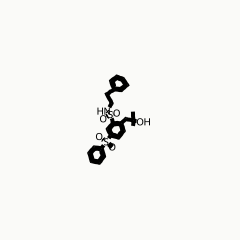 CC(C)(O)Cc1ccc(S(=O)(=O)c2ccccc2)cc1S(=O)(=O)NCCc1ccccc1